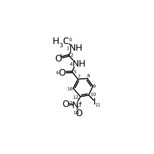 CNC(=O)NC(=O)c1ccc(I)c([N+](=O)[O-])c1